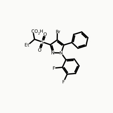 CCC(C(=O)O)S(=O)(=O)c1nn(-c2cccc(F)c2F)c(-c2ccccc2)c1Br